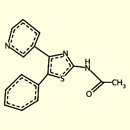 CC(=O)Nc1nc(-c2cccnc2)c(-c2ccccc2)s1